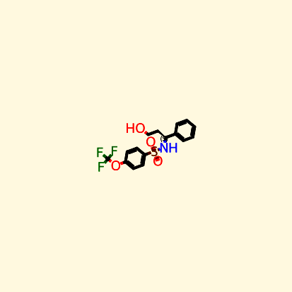 O=S(=O)(N[C@@H](CCO)c1ccccc1)c1ccc(OC(F)(F)F)cc1